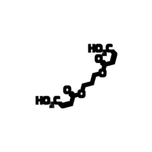 O=C(O)/C=C\C(=O)OCCCOC(=O)/C=C\C(=O)O